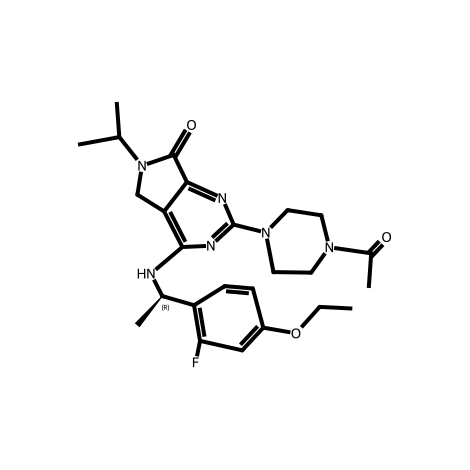 CCOc1ccc([C@@H](C)Nc2nc(N3CCN(C(C)=O)CC3)nc3c2CN(C(C)C)C3=O)c(F)c1